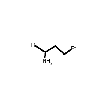 [Li][CH](N)CCCC